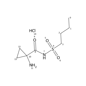 CCCCS(=O)(=O)NC(=O)C1(N)CC1.Cl